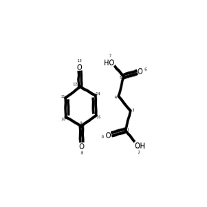 O=C(O)CCC(=O)O.O=C1C=CC(=O)C=C1